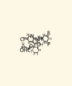 O=CC1C=CC=C(OCc2c(F)cc(F)cc2F)C1(OCC1CC1)c1c[nH]c2ncc(Cl)cc12